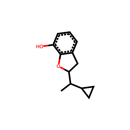 CC(C1CC1)C1Cc2cccc(O)c2O1